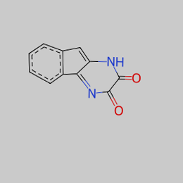 O=C1N=C2C(=Cc3ccccc32)NC1=O